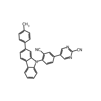 Cc1ccc(-c2ccc3c4ccccc4n(-c4ccc(-c5cnc(C#N)nc5)cc4C#N)c3c2)cc1